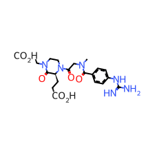 CN(CC(=O)N1CCN(CC(=O)O)C(=O)[C@@H]1CCC(=O)O)C(=O)c1ccc(NC(=N)N)cc1